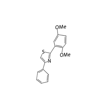 COc1ccc(OC)c(-c2nc(-c3ccccc3)cs2)c1